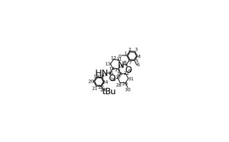 Cc1cccc(C)c1C(=O)N1CCCC(C(=O)Nc2cccc(C(C)(C)C)c2)C1C1CCC(C)CC1